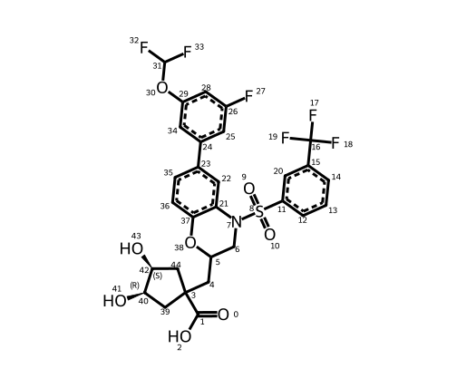 O=C(O)C1(CC2CN(S(=O)(=O)c3cccc(C(F)(F)F)c3)c3cc(-c4cc(F)cc(OC(F)F)c4)ccc3O2)C[C@@H](O)[C@@H](O)C1